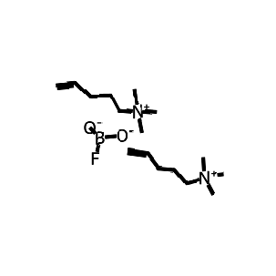 C=CCCC[N+](C)(C)C.C=CCCC[N+](C)(C)C.[O-]B([O-])F